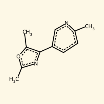 Cc1ccc(-c2nc(C)oc2C)cn1